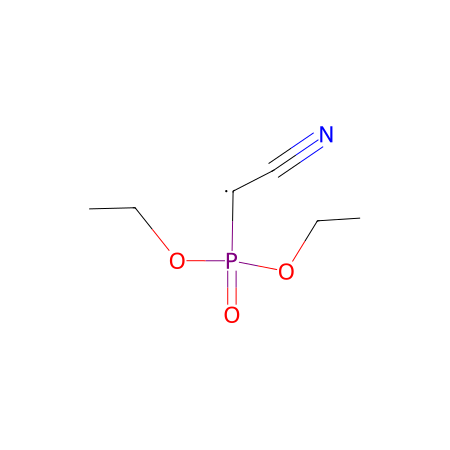 CCOP(=O)([CH]C#N)OCC